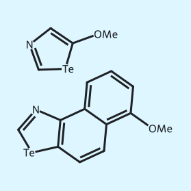 COc1cccc2c1ccc1[te]cnc12.COc1cnc[te]1